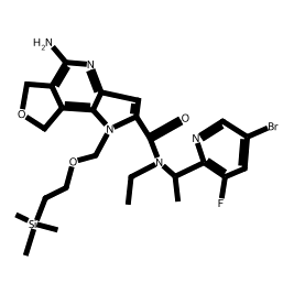 CCN(C(=O)c1cc2nc(N)c3c(c2n1COCC[Si](C)(C)C)COC3)C(C)c1ncc(Br)cc1F